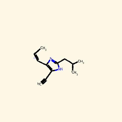 C#Cc1[nH]c(CC(C)C)nc1/C=C\C